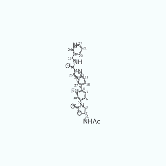 CC(=O)NC[C@H]1CN(c2ccc(-c3ccc4nc(C(=O)NCc5cccnc5)cn4c3)c(F)c2)C(=O)O1